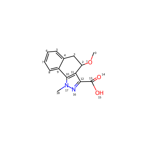 COC1Cc2ccccc2-c2c1c(C(=O)O)nn2C